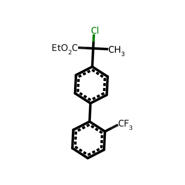 CCOC(=O)C(C)(Cl)c1ccc(-c2ccccc2C(F)(F)F)cc1